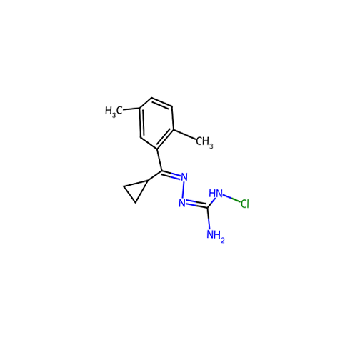 Cc1ccc(C)c(C(=NN=C(N)NCl)C2CC2)c1